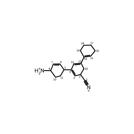 N#CC1C=C(C2C=CC(N)CC2)C=C(C2=CCCCC2)C1